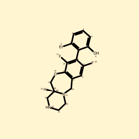 CCc1cccc(O)c1-c1c(F)cc2c(c1F)OC[C@H]1CNCCN1C2